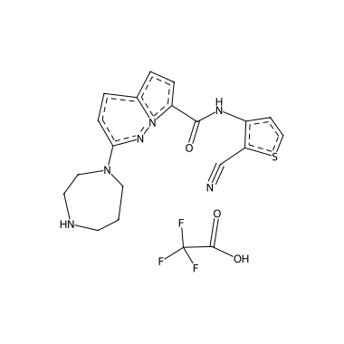 N#Cc1sccc1NC(=O)c1ccc2ccc(N3CCCNCC3)nn12.O=C(O)C(F)(F)F